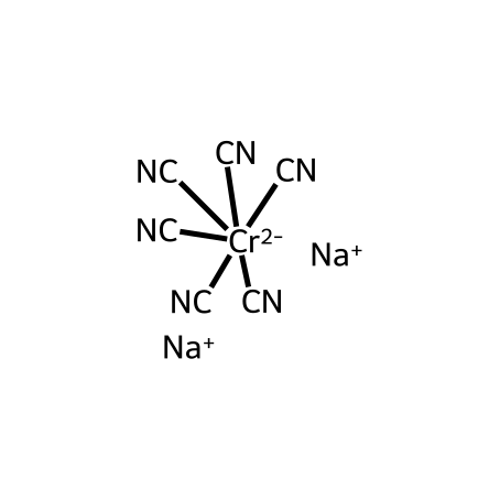 N#[C][Cr-2]([C]#N)([C]#N)([C]#N)([C]#N)[C]#N.[Na+].[Na+]